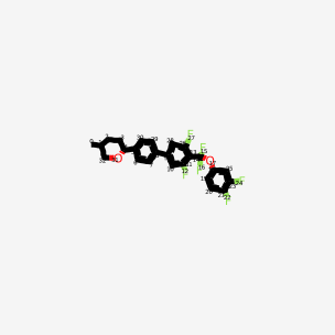 CC1CCC(c2ccc(-c3cc(F)c(C(F)(F)Oc4ccc(F)c(F)c4)c(F)c3)cc2)OC1